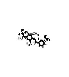 Cc1cc(C(O)C(F)(F)F)cc(C)c1NC(=O)c1cccc([N+](=O)[O-])c1